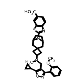 CN(Cc1c(-c2ccccc2OC(F)(F)F)noc1C1CC1)C1CC2(C1)CC1CCC(C2)N1c1nc2ccc(C(=O)O)cc2s1